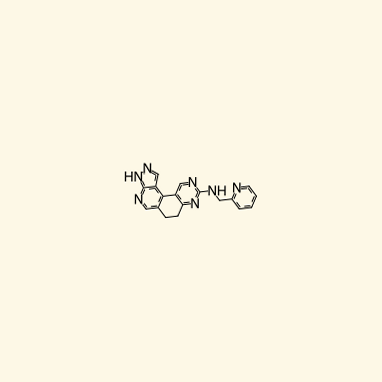 c1ccc(CNc2ncc3c(n2)CCc2cnc4[nH]ncc4c2-3)nc1